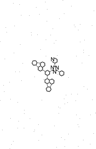 c1ccc(-c2nc(-c3cccnc3)nc(-c3cc(-c4ccc5c6c(cccc46)-c4ccccc4-5)cc(-c4ccc5c6c(cccc46)-c4ccccc4-5)c3)n2)cc1